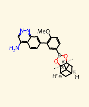 COc1ccc(B2O[C@@]3(C)C[C@H]4C[C@H](C4(C)C)[C@@]3(C)O2)cc1-c1ccc2c(N)cnnc2c1